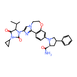 CC(C)C1C(=O)N(C2CC2)C(=O)N1c1cn2c(n1)-c1ccc(N3CC(c4ccccc4)C[C@H]3C(N)=O)cc1OCC2